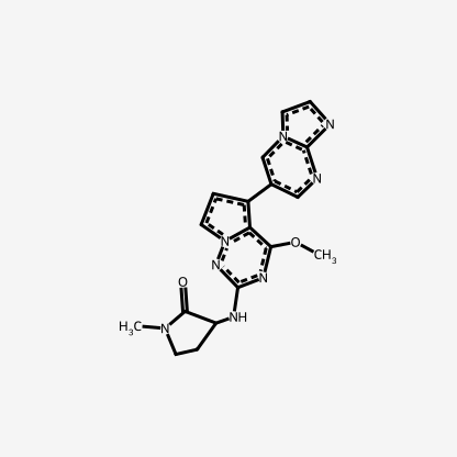 COc1nc(NC2CCN(C)C2=O)nn2ccc(-c3cnc4nccn4c3)c12